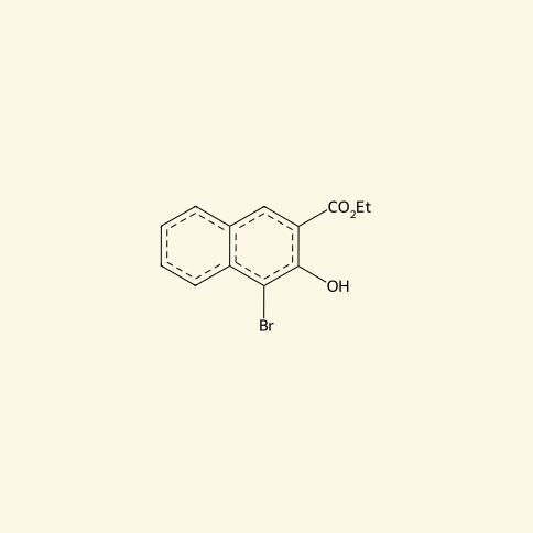 CCOC(=O)c1cc2ccccc2c(Br)c1O